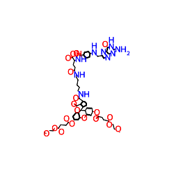 COCCOC(=O)CCC(=O)Oc1ccc2c(c1)OC1=CC(OC(=O)CCC(=O)OCCOC)C=CC1C21OC(=O)c2c(C(=O)NCCCCCNC(=O)CCC(NC(=O)c3ccc(NCc4cnc5nc(N)[nH]c(=O)c5n4)cc3)C(=O)O)cccc21